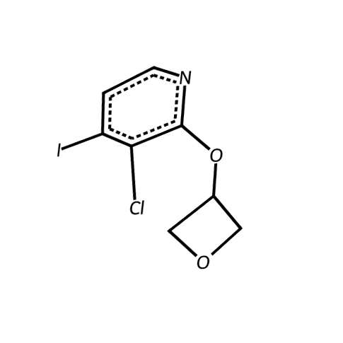 Clc1c(I)ccnc1OC1COC1